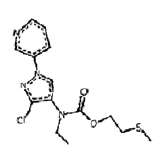 CCN(C(=O)OCCSC)c1cn(-c2cccnc2)nc1Cl